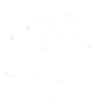 CCCc1cc(CCC)c(S(=O)(=O)Oc2nc(C)nc3cc(OC)c(OCC4COCCO4)cc23)c(CCC)c1